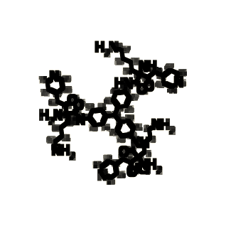 Cl.NCCCC[C@](N)(C(=O)Cc1ccncc1)C(=O)Nc1ccc(C(c2ccc(NC(=O)[C@](N)(CCCCN)C(=O)Cc3ccncc3)cc2)c2ccc(NC(=O)[C@](N)(CCCCN)C(=O)Cc3ccncc3)cc2)cc1